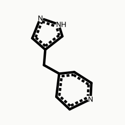 c1cc(Cc2cn[nH]c2)ccn1